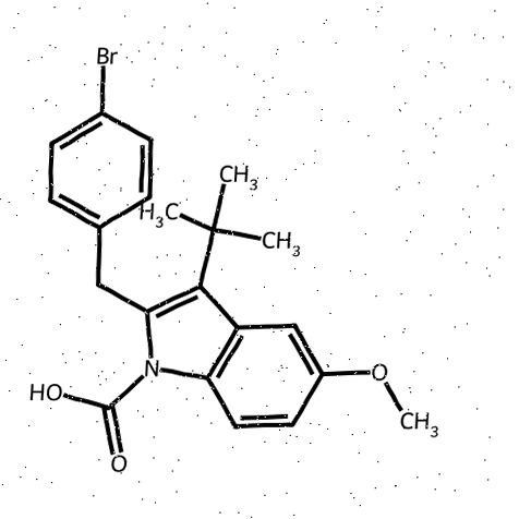 COc1ccc2c(c1)c(C(C)(C)C)c(Cc1ccc(Br)cc1)n2C(=O)O